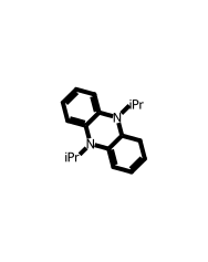 CC(C)N1C2=CC=CCC2N(C(C)C)c2ccccc21